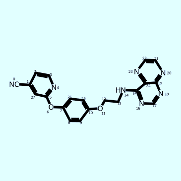 N#Cc1ccnc(Oc2ccc(OCCNc3ncnc4nccnc34)cc2)c1